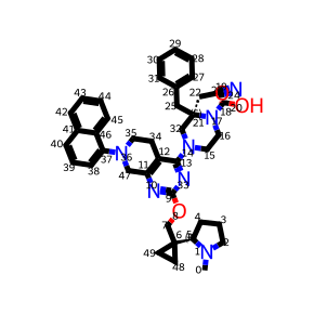 CN1CCC[C@@H]1C1(COc2nc3c(c(N4CCN(C(=O)O)[C@](CC#N)(Cc5ccccc5)C4)n2)CCN(c2cccc4ccccc24)C3)CC1